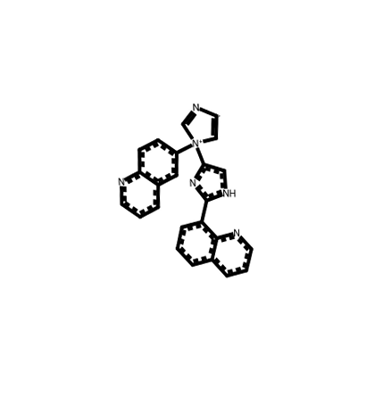 [C]1=C[N+](c2ccc3ncccc3c2)(c2c[nH]c(-c3cccc4cccnc34)n2)C=N1